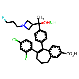 CC(O)(c1ccc(C2=C(c3ccc(Cl)cc3Cl)CCCc3cc(C(=O)O)ccc32)cc1)C1CN(CCCF)C1.Cl